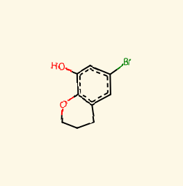 Oc1cc(Br)cc2c1OCCC2